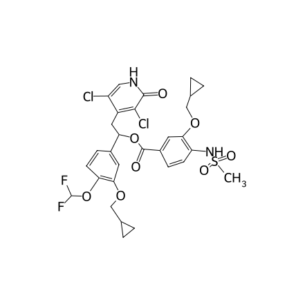 CS(=O)(=O)Nc1ccc(C(=O)OC(Cc2c(Cl)c[nH]c(=O)c2Cl)c2ccc(OC(F)F)c(OCC3CC3)c2)cc1OCC1CC1